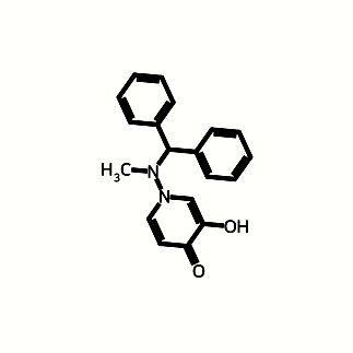 CN(C(c1ccccc1)c1ccccc1)n1ccc(=O)c(O)c1